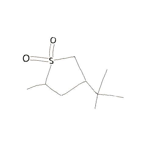 CC1CC(C(C)(C)C)CS1(=O)=O